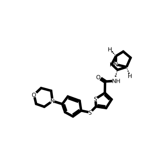 O=C(N[C@@H]1C[C@H]2CC[C@@H]1N2)c1ccc(Sc2ccc(N3CCOCC3)cc2)s1